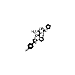 CC(C)[C@H](NC(=O)OC1CCCC1)C(=O)N1CCC[C@H]1c1nc(-c2ccc(Br)cc2)c[nH]1